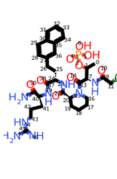 CC(OP(=O)(O)O)[C@H](NC(=O)CCl)C(=O)N1CCCC[C@H]1C(=O)N[C@@H](CCc1ccc2ccccc2c1)C(=O)N[C@@H](CCCNC(=N)N)C(N)=O